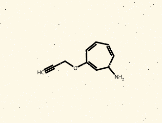 C#CCOC1=CC(N)C=CC=C1